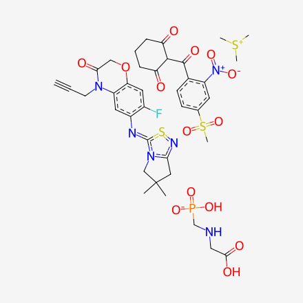 C#CCN1C(=O)COc2cc(F)c(/N=c3\snc4n3CC(C)(C)C4)cc21.CS(=O)(=O)c1ccc(C(=O)C2C(=O)CCCC2=O)c([N+](=O)[O-])c1.C[S+](C)C.O=C(O)CNCP(=O)([O-])O